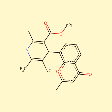 [C-]#[N+]C1=C(C(F)(F)F)NC(C)=C(C(=O)OCCC)C1c1cccc2c(=O)cc(C)oc12